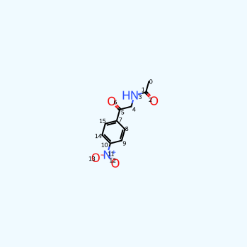 CC(=O)NCC(=O)c1ccc([N+](=O)[O-])cc1